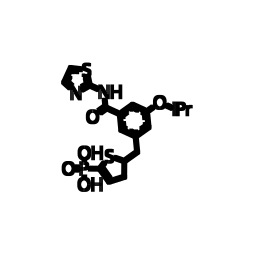 CC(C)Oc1cc(CC2CC=C(P(=O)(O)O)S2)cc(C(=O)Nc2nccs2)c1